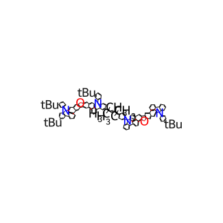 CC(C)(C)c1ccc(N(c2ccc3cc4c(cc3c2)oc2cc3cc(N(c5ccc(C(C)(C)CCC(C)(C)c6ccc(N(c7cccc(C(C)(C)C)c7)c7ccc8cc9c(cc8c7)oc7cc8cc(N(c%10cccc(C(C)(C)C)c%10)c%10ccc(C(C)(C)C)cc%10-c%10ccccc%10)ccc8cc79)c(-c7ccccc7)c6)cc5)c5ccccc5-c5ccccc5)ccc3cc24)c2ccccc2-c2ccccc2)cc1